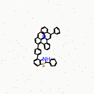 c1ccc(-c2cc(-c3ccccc3-c3c(-c4ccc(-c5cccc6c5NC(c5ccccc5)S6)cc4)ccc4ccccc34)nc3ccccc23)cc1